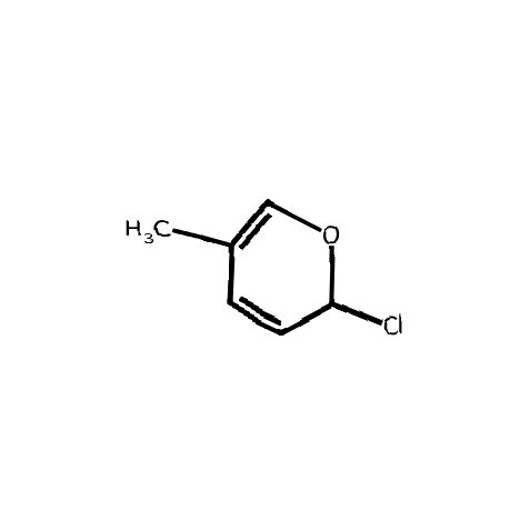 CC1=COC(Cl)C=C1